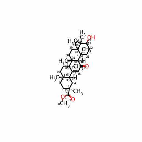 COC(=O)[C@@]1(C)CC[C@]2(C)CC[C@]3(C)C(=CC(=O)[C@@H]4[C@@]5(C)CC[C@H](O)C(C)(C)[C@@H]5CC[C@]43C)[C@@H]2C1